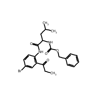 CCC(=O)c1cc(Br)ccc1NC(=O)C(CC(C)C)NC(=O)OCc1ccccc1